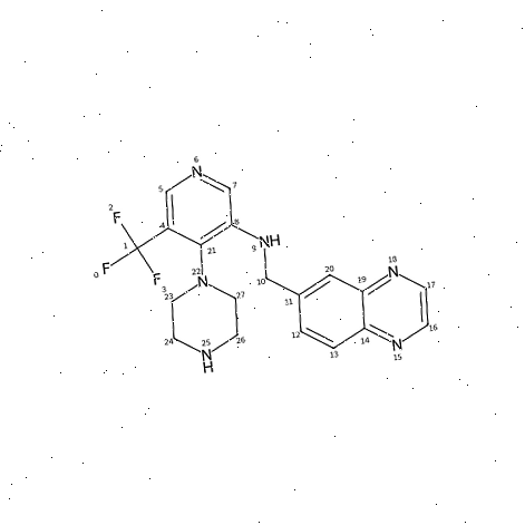 FC(F)(F)c1cncc(NCc2ccc3nccnc3c2)c1N1CCNCC1